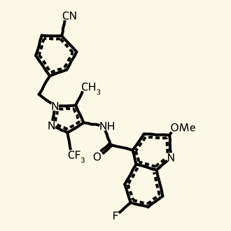 COc1cc(C(=O)Nc2c(C(F)(F)F)nn(Cc3ccc(C#N)cc3)c2C)c2cc(F)ccc2n1